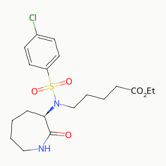 CCOC(=O)CCCCN([C@@H]1CCCCNC1=O)S(=O)(=O)c1ccc(Cl)cc1